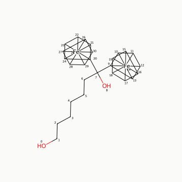 OCCCCCCC(O)([C]12[CH]3[CH]4[CH]5[CH]1[Fe]45321678[CH]2[CH]1[CH]6[CH]7[CH]28)[C]12[CH]3[CH]4[CH]5[CH]1[Fe]45321678[CH]2[CH]1[CH]6[CH]7[CH]28